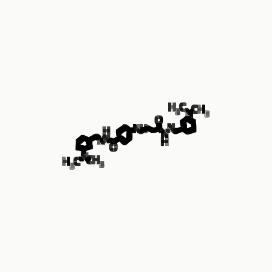 CN(C)c1cccc(/C=N/NC(=O)CCCNc2ccc(C(=O)N/N=C/c3cccc(N(C)C)c3)cc2)c1